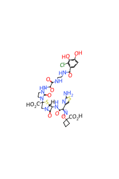 Nc1nc(/C(=N/OC2(C(=O)O)CCC2)C(=O)NC2C(=O)N3CC(C(=O)O)(N4CCN(NC(=O)C(=O)NCCNC(=O)c5ccc(O)c(O)c5Cl)C4=O)S[C@H]23)cs1